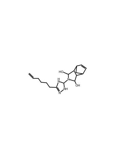 C=CCCCCC1=NNC(N2C(O)C3C4C=CC(C4)C3C2O)N1